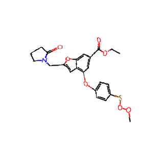 CCOC(=O)c1cc(Oc2ccc(SOOC)cc2)c2cc(CN3CCCC3=O)oc2c1